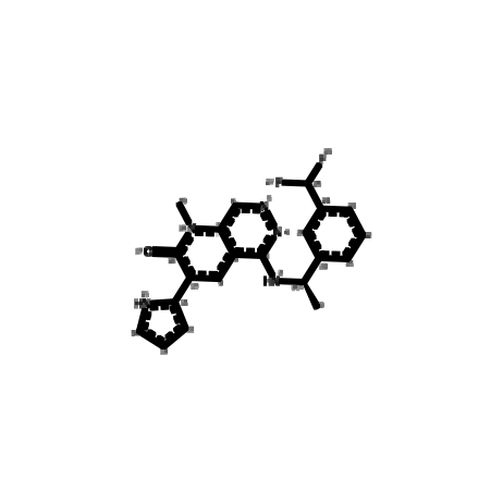 C[C@@H](Nc1nncc2c1cc(-c1ccc[nH]1)c(=O)n2C)c1cccc(C(F)F)c1